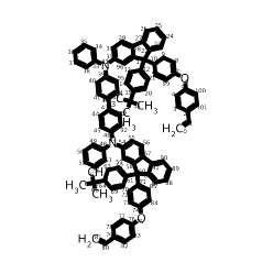 C=Cc1ccc(OC2=CCC(C3(c4ccc(C(C)(C)C)cc4)c4ccccc4-c4ccc(N(c5ccccc5)c5ccc(-c6ccc(N(c7ccccc7)c7ccc8c(c7)C(C7=CCC(C(C)(C)C)C=C7)(c7ccc(Oc9ccc(C=C)cc9)cc7)c7ccccc7-8)cc6)cc5)cc43)C=C2)cc1